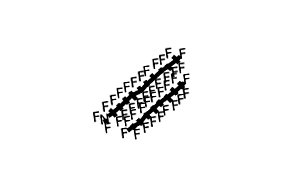 FC(F)(F)C(F)(F)C(F)(F)C(F)(F)C(F)(F)C(F)(F)C(F)(F)C(F)(F)F.FN(F)C(F)(F)C(F)(F)C(F)(F)C(F)(F)C(F)(F)C(F)(F)C(F)(F)C(F)(F)C(F)(F)C(F)(F)F